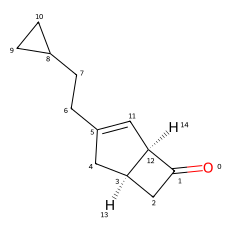 O=C1C[C@H]2CC(CCC3CC3)=C[C@@H]12